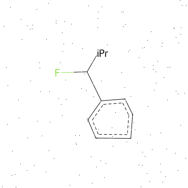 CC(C)C(F)c1ccccc1